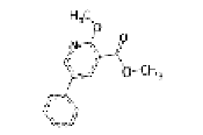 COC(=O)c1cc(-c2ccccc2)cnc1OC